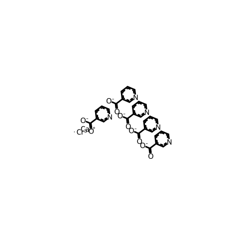 O=C([O-])c1cccnc1.O=C([O-])c1cccnc1.O=C([O-])c1cccnc1.O=C([O-])c1cccnc1.O=C([O-])c1cccnc1.[Ca+2].[Cr+3]